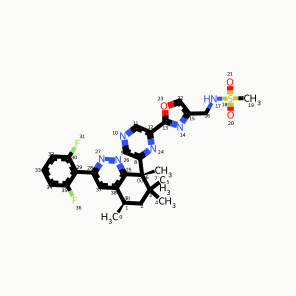 C[C@@H]1CC(C)(C)[C@@](C)(c2cncc(-c3nc(CNS(C)(=O)=O)co3)n2)c2nnc(-c3c(F)cccc3F)cc21